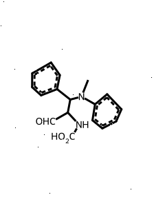 CN(c1ccccc1)C(c1ccccc1)C(C=O)NC(=O)O